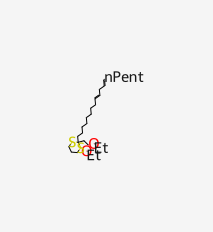 CCCCC/C=C/C/C=C/CCCCCCCCC1(CC(OCC)OCC)SCCCS1